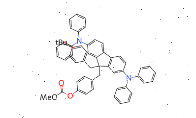 COC(=O)Oc1ccc(CC2(Cc3ccc(C(C)(C)C)cc3)c3cc(N(c4ccccc4)c4ccccc4)ccc3-c3ccc(N(c4ccccc4)c4ccccc4)cc32)cc1